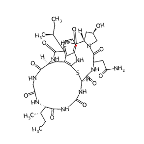 CC[C@H](C)[C@@H]1NC(=O)CNC(=O)[C@@H]2Cc3c([nH]c4ccccc34)S[C@H](NC(=O)CNC1=O)C(=O)NC(CC(N)=O)C(=O)N1C[C@H](O)C[C@H]1C(=O)N[C@@H]([C@@H](C)CC)C(=O)N2